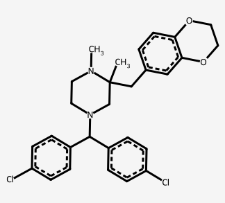 CN1CCN(C(c2ccc(Cl)cc2)c2ccc(Cl)cc2)CC1(C)Cc1ccc2c(c1)OCCO2